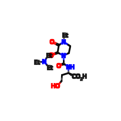 CCN(CC)CC.CCN1CCN(C(=O)N[C@H](CCO)C(=O)O)C(=O)C1=O